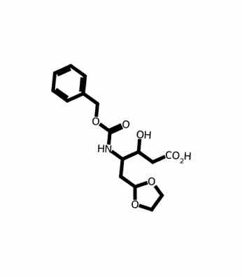 O=C(O)CC(O)C(CC1OCCO1)NC(=O)OCc1ccccc1